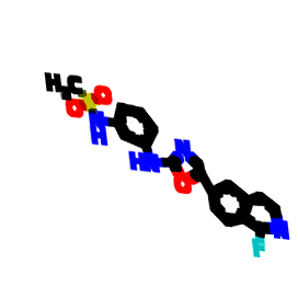 CS(=O)(=O)Nc1cccc(Nc2ncc(-c3ccc4c(F)nccc4c3)o2)c1